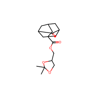 CC1(C)OCC(COC(=O)C23CC4CC(C2)C(=O)C(C4)C3)O1